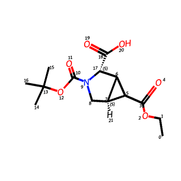 CCOC(=O)C1C2[C@@H]1CN(C(=O)OC(C)(C)C)[C@@H]2C(=O)O